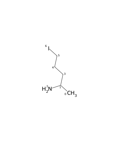 CC(N)CCCI